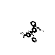 CCn1c2c(c3cc(-c4nc5cc(C(=O)O)ccc5n4C[C@H]4CCCOC4)ccc31)=CCCCC=2